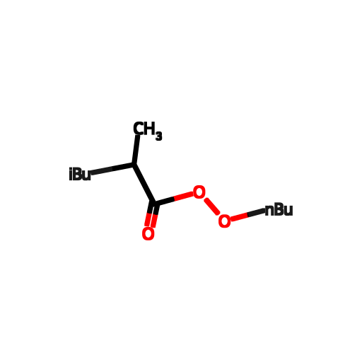 CCCCOOC(=O)C(C)C(C)CC